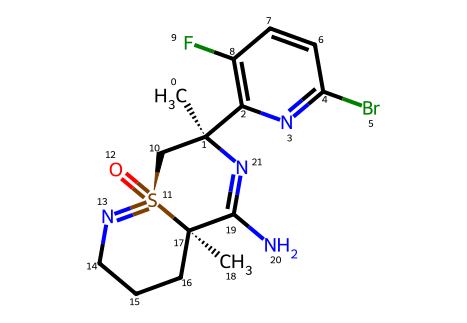 C[C@@]1(c2nc(Br)ccc2F)C[S@]2(=O)=NCCC[C@]2(C)C(N)=N1